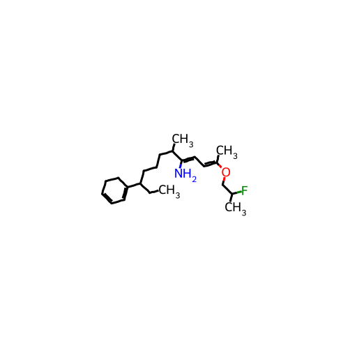 CCC(CCCC(C)/C(N)=C/C=C(\C)OCC(C)F)C1=CC=CCC1